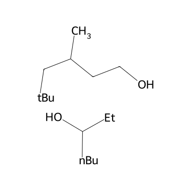 CC(CCO)CC(C)(C)C.CCCCC(O)CC